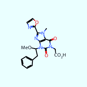 COC(Cc1ccccc1)n1c(=O)n(CC(=O)O)c(=O)c2c1nc(-c1ncco1)n2C